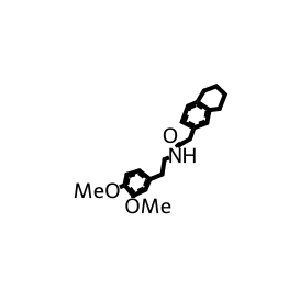 COc1ccc(CCNC(=O)Cc2ccc3c(c2)CCCC3)cc1OC